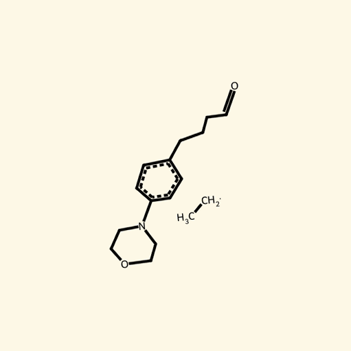 O=CCCCc1ccc(N2CCOCC2)cc1.[CH2]C